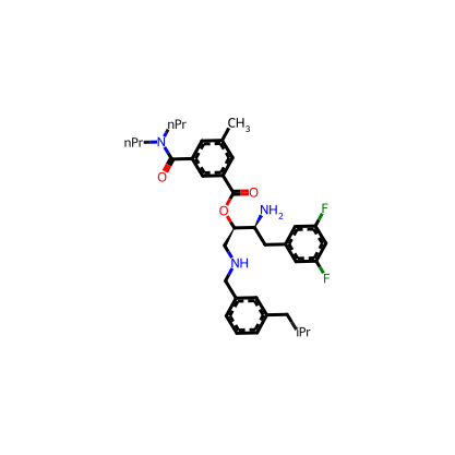 CCCN(CCC)C(=O)c1cc(C)cc(C(=O)O[C@H](CNCc2cccc(CC(C)C)c2)[C@@H](N)Cc2cc(F)cc(F)c2)c1